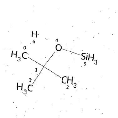 CC(C)(C)O[SiH3].[H]